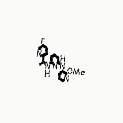 COc1ncccc1Nc1cccc(NC(C)c2ccc(F)cn2)n1